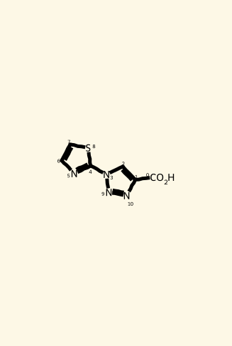 O=C(O)c1cn(-c2nccs2)nn1